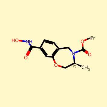 CC(C)OC(=O)N1Cc2ccc(C(=O)NO)cc2OC[C@@H]1C